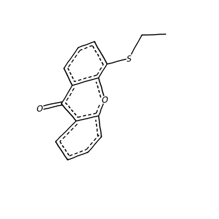 CCSc1cccc2c(=O)c3ccccc3oc12